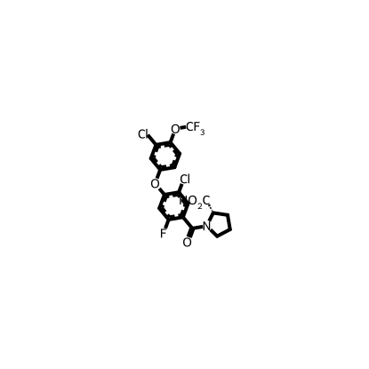 O=C(O)[C@@H]1CCCN1C(=O)c1cc(Cl)c(Oc2ccc(OC(F)(F)F)c(Cl)c2)cc1F